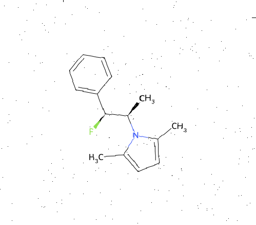 Cc1ccc(C)n1[C@H](C)[C@@H](F)c1ccccc1